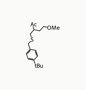 COCCC(CSCc1ccc(C(C)(C)C)cc1)C(C)=O